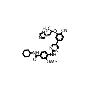 COc1cc(C(=O)NC2CCCCC2)ccc1Nc1ncc(-c2ccc(C#N)c(OC(C)Cn3cncn3)c2)cn1